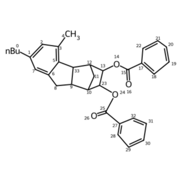 CCCCc1cc(C)c2c(c1)CC1C3CC(C(OC(=O)c4ccccc4)C3OC(=O)c3ccccc3)C21